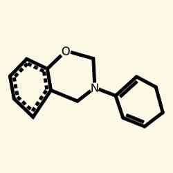 C1=CC(N2COc3ccccc3C2)=CCC1